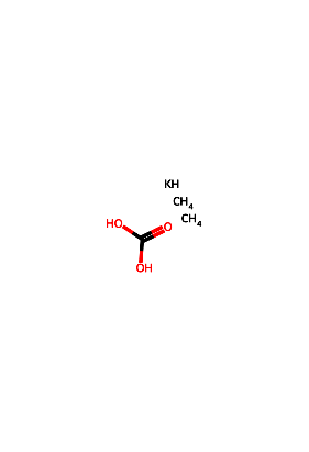 C.C.O=C(O)O.[KH]